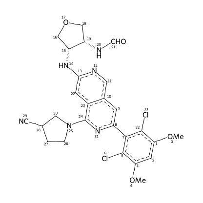 COc1cc(OC)c(Cl)c(-c2cc3cnc(N[C@@H]4COC[C@@H]4NC=O)cc3c(N3CCC(C#N)C3)n2)c1Cl